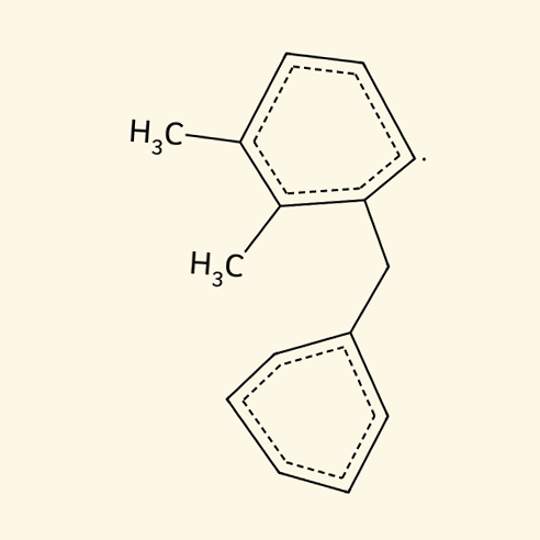 Cc1cc[c]c(Cc2ccccc2)c1C